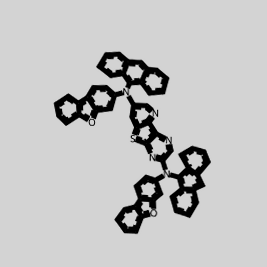 c1ccc2c(N(c3ccc4c(c3)oc3ccccc34)c3cnc4c(c3)sc3nc(N(c5ccc6c(c5)oc5ccccc56)c5c6ccccc6cc6ccccc56)cnc34)c3ccccc3cc2c1